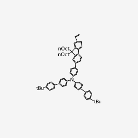 C=Cc1ccc2c(c1)C(CCCCCCCC)(CCCCCCCC)c1cc(-c3ccc(N(c4ccc(-c5ccc(C(C)(C)C)cc5)cc4)c4ccc(-c5ccc(C(C)(C)C)cc5)cc4)cc3)ccc1-2